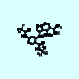 [2H]C([2H])([2H])NC(=O)c1cnc(NC(=O)C2(F)CC2)cc1Nc1cnn2ccc([C@H](O)C(F)(F)F)c(OC)c12